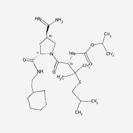 CC(C)CSC(C)(C)[C@@H](NC(=O)OC(C)C)C(=O)N1C[C@H](C(=N)N)C[C@H]1C(=O)NCC1CCCCC1